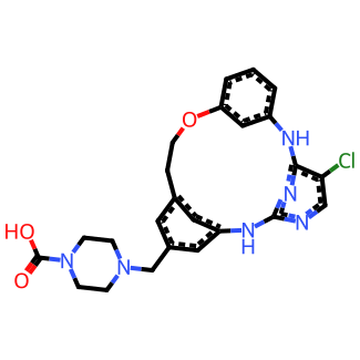 O=C(O)N1CCN(Cc2cc3cc(c2)Nc2ncc(Cl)c(n2)Nc2cccc(c2)OCC3)CC1